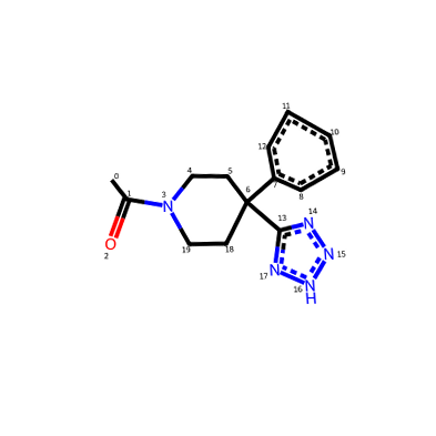 CC(=O)N1CCC(c2ccccc2)(c2nn[nH]n2)CC1